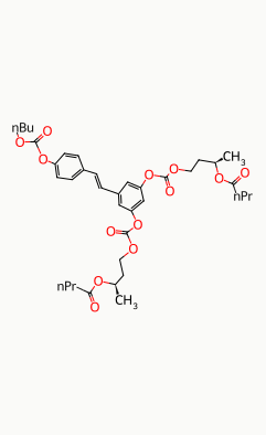 C[CH]CCOC(=O)Oc1ccc(/C=C/c2cc(OC(=O)OCC[C@@H](C)OC(=O)CCC)cc(OC(=O)OCC[C@@H](C)OC(=O)CCC)c2)cc1